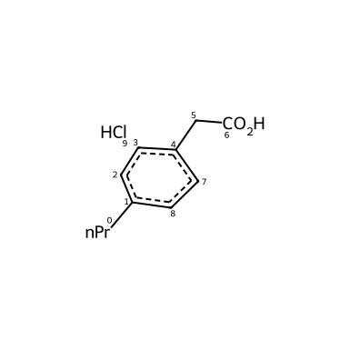 CCCc1ccc(CC(=O)O)cc1.Cl